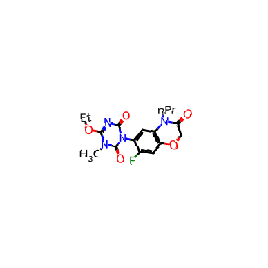 CCCN1C(=O)COc2cc(F)c(-n3c(=O)nc(OCC)n(C)c3=O)cc21